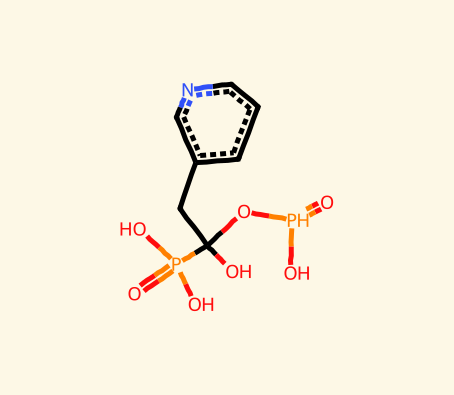 O=[PH](O)OC(O)(Cc1cccnc1)P(=O)(O)O